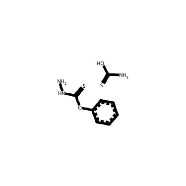 NC(O)=S.NNC(=S)Oc1ccccc1